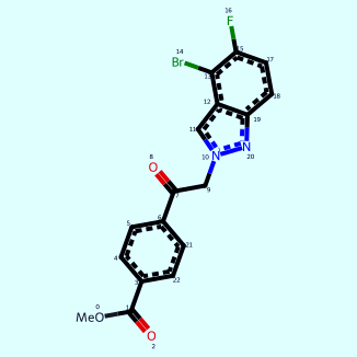 COC(=O)c1ccc(C(=O)Cn2cc3c(Br)c(F)ccc3n2)cc1